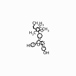 C=C/C=C\c1cc(C)c(OC)c(C2CCCN(C(CC(=O)N3CCNCC3)c3csc(N4CCC(O)CC4)n3)CC2)c1C